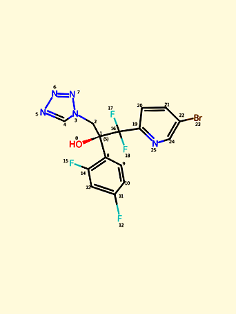 O[C@](Cn1cnnn1)(c1ccc(F)cc1F)C(F)(F)c1ccc(Br)cn1